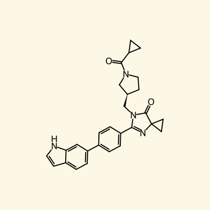 O=C(C1CC1)N1CC[C@@H](CN2C(=O)C3(CC3)N=C2c2ccc(-c3ccc4cc[nH]c4c3)cc2)C1